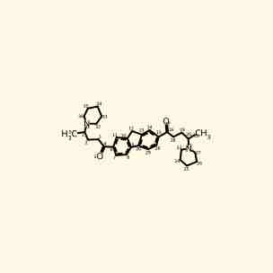 CC(CCC(=O)c1ccc2c(c1)Cc1cc(C(=O)CCC(C)N3CCCCC3)ccc1-2)N1CCCCC1